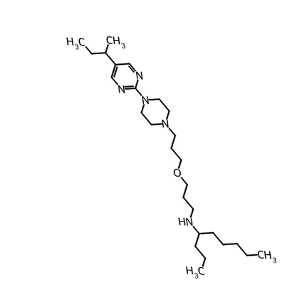 CCCCCC(CCC)NCCCOCCCN1CCN(c2ncc(C(C)CC)cn2)CC1